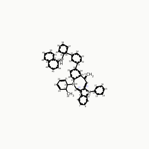 C=C1/C=c2\c(c3ccccc3n2-c2ccccc2)=C/N(C2C=CC=CC2C)c2ccc(-c3cccc(-c4ccccc4Nc4cccc5ccccc45)c3)cc21